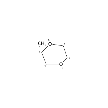 C.C1COCCO1